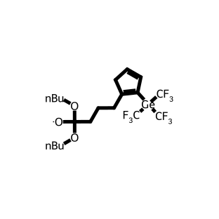 CCCCOC([O])(CCCC1=[C]([Ge]([C](F)(F)F)([C](F)(F)F)[C](F)(F)F)C=CC1)OCCCC